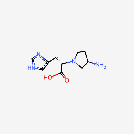 N[C@@H]1CCN([C@@H](Cc2c[nH]cn2)C(=O)O)C1